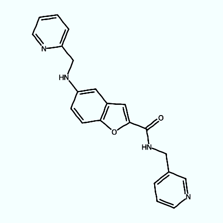 O=C(NCc1cccnc1)c1cc2cc(NCc3ccccn3)ccc2o1